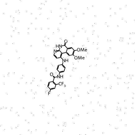 COc1cc2c(=O)[nH]c3nccc(Nc4ccc(NC(=O)c5ccc(F)cc5C(F)(F)F)cc4)c3c2cc1OC